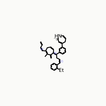 C=C/C=C\C1=C(C)C(=C)/C(=C(\C/C=C\c2ccccc2CC)c2cccc(C3=C[C@H](C)NC=CC3)c2)C=CC1